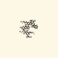 C[C@H](NC(=O)[C@H](CCC(=O)O)NC(=O)CN)C(=O)N[C@@H](CO)C(=O)N1CCC[C@H]1C(=O)N[C@@H](CCCCN)C(=O)N[C@@H](Cc1c[nH]c2ccccc12)C(=O)O